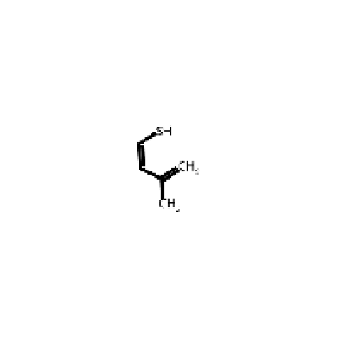 C=C(C)/C=C\S